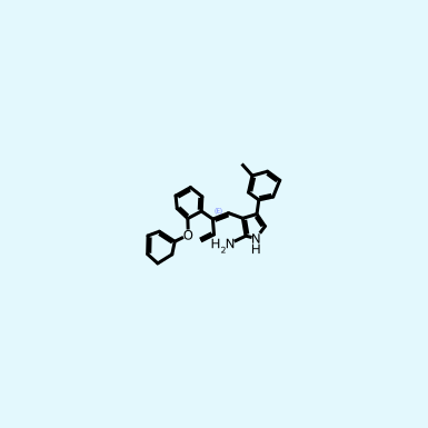 C=C/C(=C\c1c(-c2cccc(C)c2)c[nH]c1N)c1ccccc1OC1=CC=CCC1